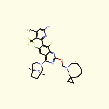 Cc1cc(N)nc(-c2c(Cl)cc3c(N4CC[C@H]5CC[C@@H](C4)N5)nc(OCN4C[C@H](F)CCCC5(CC5)C4)nc3c2F)c1C(F)(F)F